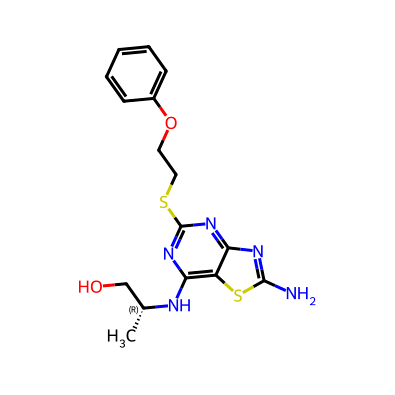 C[C@H](CO)Nc1nc(SCCOc2ccccc2)nc2nc(N)sc12